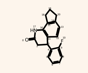 O=C1CC(c2ccccc2F)c2ccc3c(c2N1)CCC3